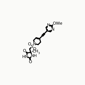 COc1ncc(C#CC2=CCN(S(=O)(=O)C[C@@]3(C)NC(=O)NC3=O)CC2)cn1